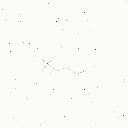 CCCCCCC(F)(F)Br